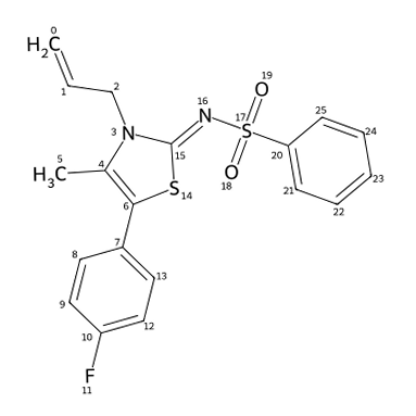 C=CCn1c(C)c(-c2ccc(F)cc2)s/c1=N\S(=O)(=O)c1ccccc1